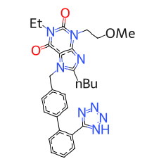 CCCCc1nc2c(c(=O)n(CC)c(=O)n2CCOC)n1Cc1ccc(-c2ccccc2-c2nnn[nH]2)cc1